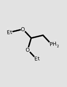 CCOC(CP)OCC